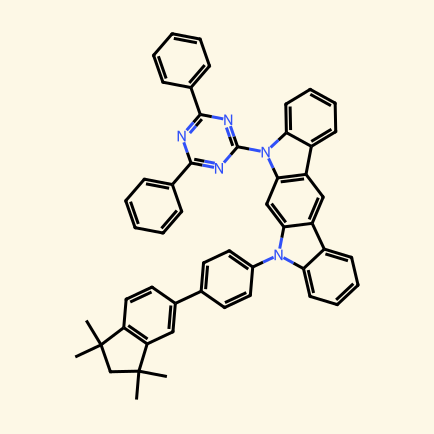 CC1(C)CC(C)(C)c2cc(-c3ccc(-n4c5ccccc5c5cc6c7ccccc7n(-c7nc(-c8ccccc8)nc(-c8ccccc8)n7)c6cc54)cc3)ccc21